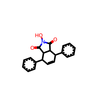 O=C1C2C(c3ccccc3)C=CC(c3ccccc3)C2C(=O)N1O